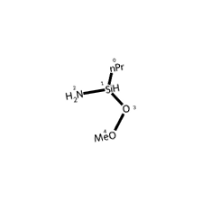 CCC[SiH](N)OOC